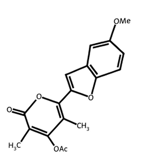 COc1ccc2oc(-c3oc(=O)c(C)c(OC(C)=O)c3C)cc2c1